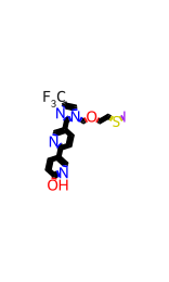 Oc1ccc(-c2ccc(-c3nc(C(F)(F)F)cn3COCCSI)cn2)cn1